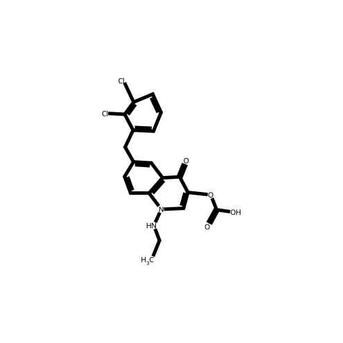 CCNn1cc(OC(=O)O)c(=O)c2cc(Cc3cccc(Cl)c3Cl)ccc21